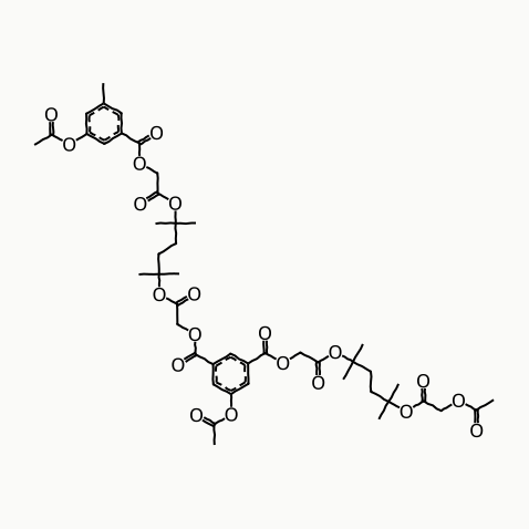 CC(=O)OCC(=O)OC(C)(C)CCC(C)(C)OC(=O)COC(=O)c1cc(OC(C)=O)cc(C(=O)OCC(=O)OC(C)(C)CCC(C)(C)OC(=O)COC(=O)c2cc(C)cc(OC(C)=O)c2)c1